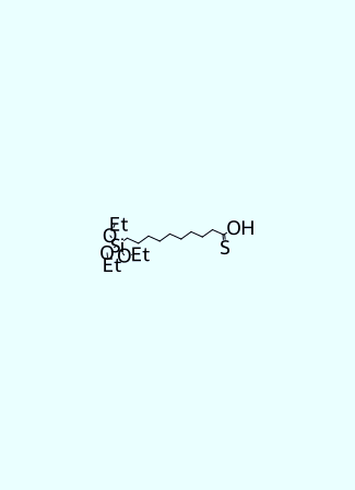 CCO[Si](CCCCCCCCCC(O)=S)(OCC)OCC